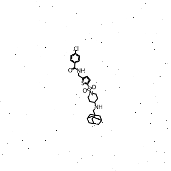 O=C(NCc1ccc(S(=O)(=O)N2CCC(NCC34CC5CC(CC(C5)C3)C4)CC2)s1)c1ccc(Cl)cc1